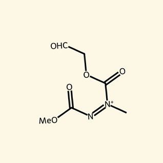 COC(=O)N=[N+](C)C(=O)OCC=O